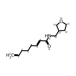 C=CCCC/C=C/C(=O)NCC1CCOC1